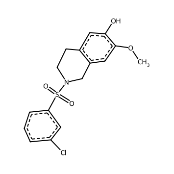 COc1cc2c(cc1O)CCN(S(=O)(=O)c1cccc(Cl)c1)C2